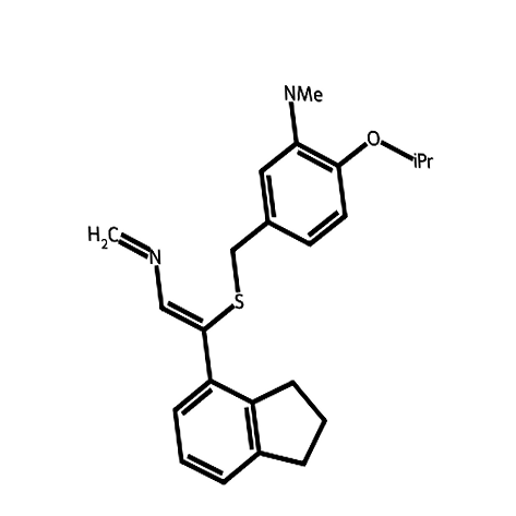 C=N/C=C(\SCc1ccc(OC(C)C)c(NC)c1)c1cccc2c1CCC2